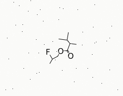 CC(F)COC(=O)C(C)C(C)C